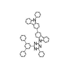 c1ccc(-c2cc(-c3ccccc3)cc(-c3nc(-c4ccccc4)nc(-n4c5ccccc5c5cc(-c6ccc7c(c6)c6ccccc6n7-c6ccccc6)ccc54)n3)c2)cc1